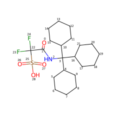 O=C(NC(C1CCCCC1)(C1CCCCC1)C1CCCCC1)C(F)(F)S(=O)(=O)O